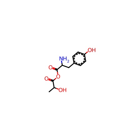 CC(O)C(=O)OC(=O)C(N)Cc1ccc(O)cc1